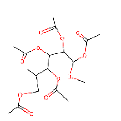 COC(OC(C)=O)C(OC(C)=O)C(OC(C)=O)C(OC(C)=O)C(C)COC(C)=O